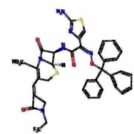 Nc1nc(/C(=N/OC(c2ccccc2)(c2ccccc2)c2ccccc2)C(=O)N[C@@H]2C(=O)N3C(C(=O)O)=C(/C=C4\CN(CC(F)(F)F)C4=O)CS[C@H]23)cs1